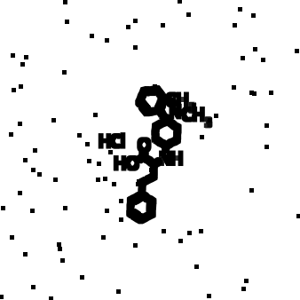 CN(C)C1(c2ccccc2)CCC(NC(CCc2ccccc2)C(=O)O)CC1.Cl